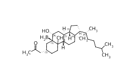 B[C@]12C[C@@H](CC(C)=O)CCC1(C)[C@H]1CC[C@]3(C)[C@@H]([C@H](C)CCCC(C)C)CC[C@H]3[C@@H]1C[C@H]2O